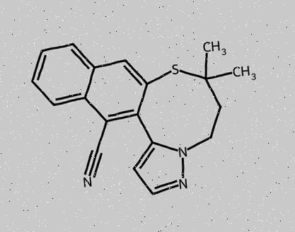 CC1(C)CCn2nccc2-c2c(cc3ccccc3c2C#N)S1